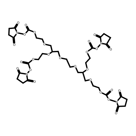 O=C(OCCOCC(COCCOCC(COCCOC(=O)ON1C(=O)CCC1=O)OCCOC(=O)ON1C(=O)CCC1=O)OCCOC(=O)ON1C(=O)CCC1=O)ON1C(=O)CCC1=O